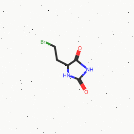 O=C1NC(=O)C(CCBr)N1